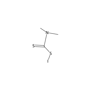 CN(C)C(=S)SI